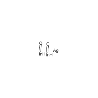 [Ag].[O]=[InH].[O]=[InH]